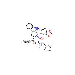 COC(=O)C1Cc2c([nH]c3ccccc23)C(c2ccc3c(c2)OCO3)N1C(=O)CN(C)Cc1ccccc1